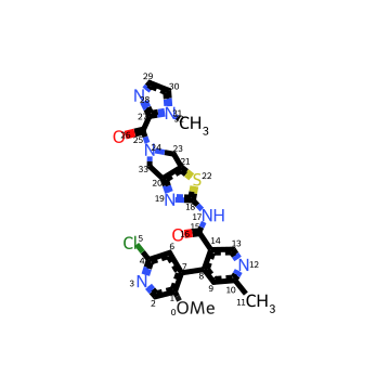 COc1cnc(Cl)cc1-c1cc(C)ncc1C(=O)Nc1nc2c(s1)CN(C(=O)c1nccn1C)C2